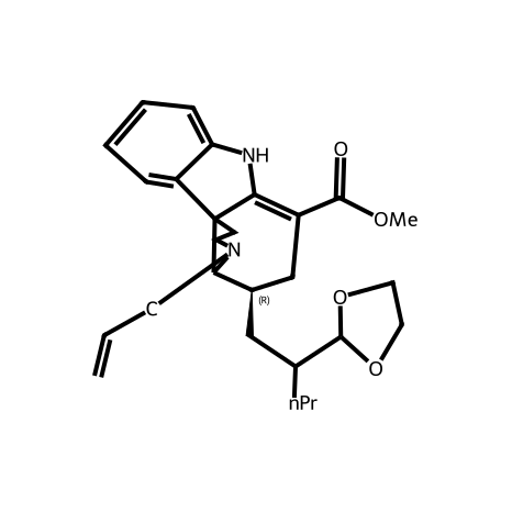 C=CCN1CCC23C(=C(C(=O)OC)C[C@@H](CC(CCC)C4OCCO4)C12)Nc1ccccc13